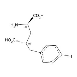 N[C@H](C[C@H](Cc1ccc(I)cc1)C(=O)O)C(=O)O